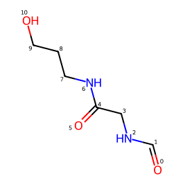 O=CNCC(=O)NCCCO